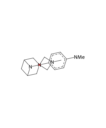 CNc1ccc(N2CC3CC(C2)N3C2CN(C)C2)cc1